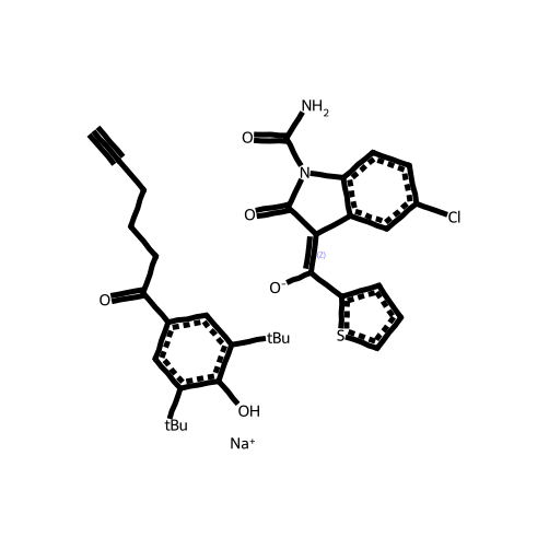 C#CCCCC(=O)c1cc(C(C)(C)C)c(O)c(C(C)(C)C)c1.NC(=O)N1C(=O)/C(=C(\[O-])c2cccs2)c2cc(Cl)ccc21.[Na+]